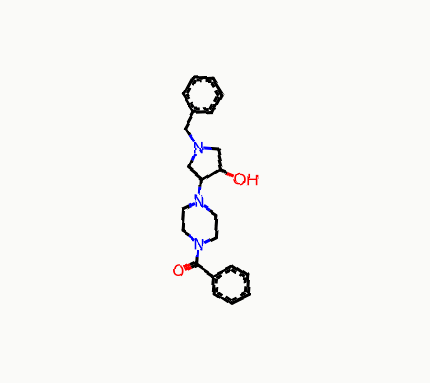 O=C(c1ccccc1)N1CCN(C2CN(Cc3ccccc3)CC2O)CC1